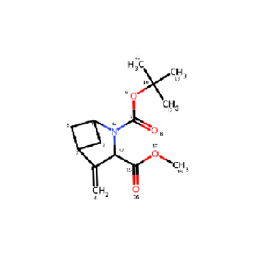 C=C1C2CC(C2)N(C(=O)OC(C)(C)C)C1C(=O)OC